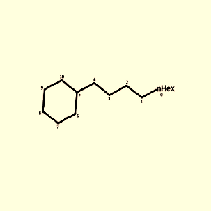 [CH2]CCCCCCCCCC1CCCCC1